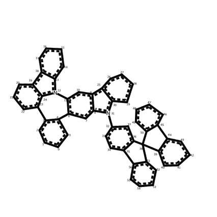 c1ccc2c(c1)-c1cc3c(cc1-n1c4ccccc4c4cccc-2c41)c1ccccc1n3-c1ccc2c(c1)C1(c3ccccc3-c3ccccc31)c1ccccc1-2